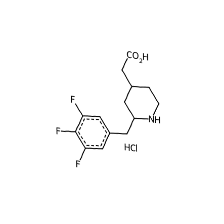 Cl.O=C(O)CC1CCNC(Cc2cc(F)c(F)c(F)c2)C1